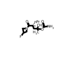 CCC[C@H](CC(C)(C)OC(N)=O)C(=O)N1CC(F)C1